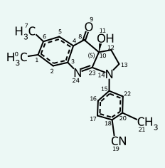 Cc1cc2c(cc1C)C(=O)[C@]1(O)CCN(c3ccc(C#N)c(C)c3)C1=N2